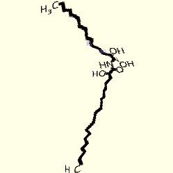 CCCCCCCCC/C=C/C=C/[C@@H](O)[C@H](CO)NC(=O)C(O)CCCCCCCCCCCCCCCCCC